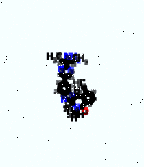 [2H]C([2H])([2H])N1C(=O)c2cccc(C#C)c2[C@H]2C[C@@H]1c1nc3ccc(-c4cnc(C(N)(CC)CC)nc4)cc3n12